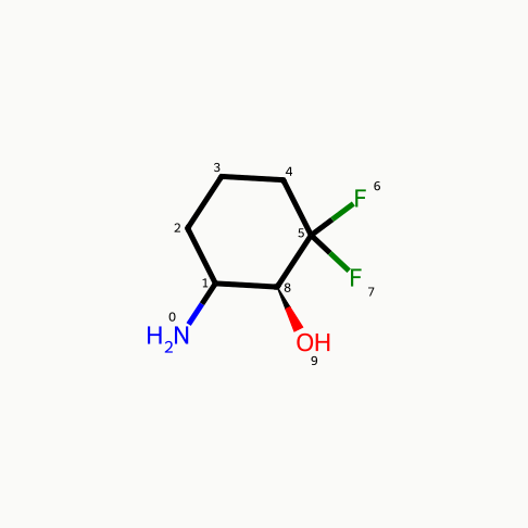 NC1CCCC(F)(F)[C@H]1O